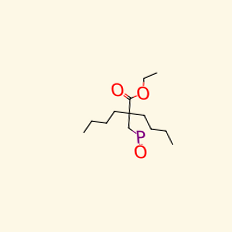 CCCCC(CCCC)(CP=O)C(=O)OCC